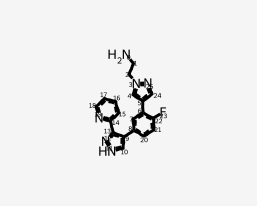 NCCn1cc(-c2cc(-c3c[nH]nc3-c3ccccn3)ccc2F)cn1